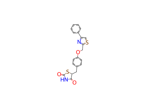 O=C1NC(=O)C(Cc2ccc(OCc3nc(-c4ccccc4)cs3)cc2)S1